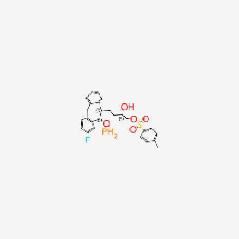 Cc1ccc(S(=O)(=O)OC[C@@H](O)CC[C@@H]2c3ccccc3Cc3ccc(F)cc3[C@H]2OP)cc1